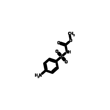 COC(=O)NS(=O)(=O)c1ccc(N)cc1